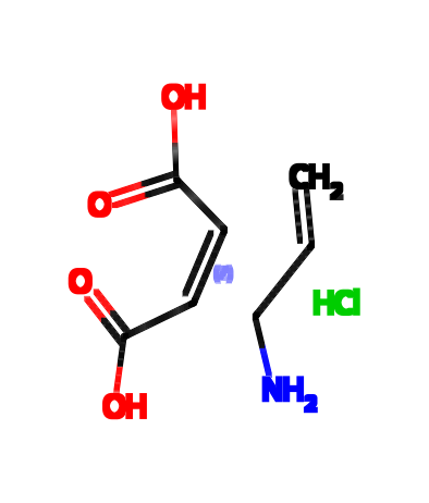 C=CCN.Cl.O=C(O)/C=C\C(=O)O